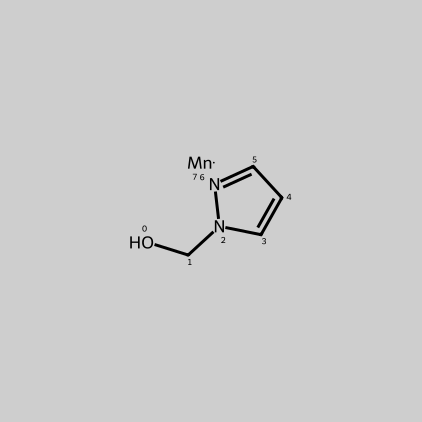 OCn1cccn1.[Mn]